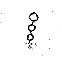 C[Si](C)(C)c1ccc(-c2ccc(/C3=C/C=C\C=C/CC3)cc2)cc1